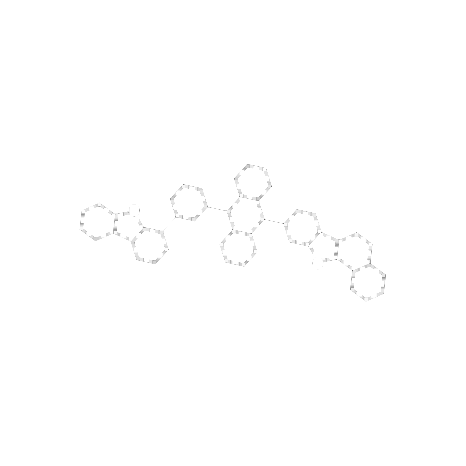 c1cc(-c2c3ccccc3c(-c3ccc4c(c3)oc3c5ccccc5ccc43)c3ccccc23)cc(-c2cccc3c2oc2ccccc23)c1